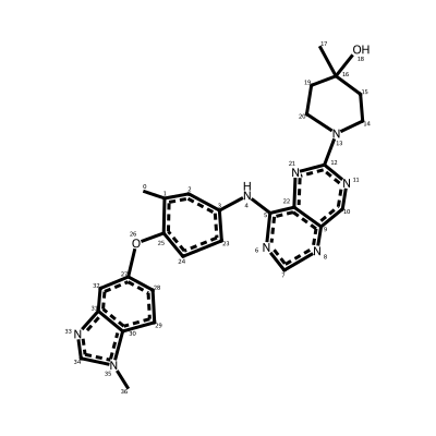 Cc1cc(Nc2ncnc3cnc(N4CCC(C)(O)CC4)nc23)ccc1Oc1ccc2c(c1)ncn2C